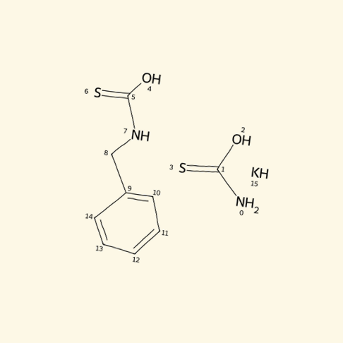 NC(O)=S.OC(=S)NCc1ccccc1.[KH]